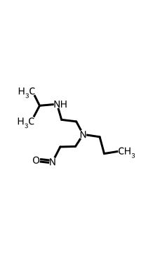 CCCN(CCN=O)CCNC(C)C